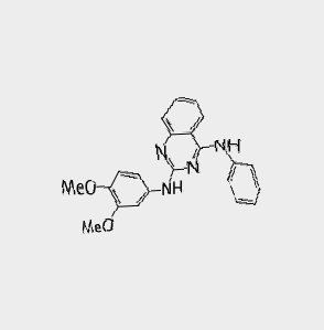 COc1ccc(Nc2nc(Nc3ccccc3)c3ccccc3n2)cc1OC